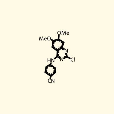 COc1cc2nc(Cl)nc(Nc3ccc(C#N)cc3)c2cc1OC